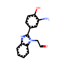 Nc1cc(-c2nc3ccccc3n2CC=O)ccc1O